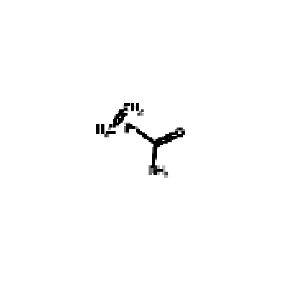 C=C.CC(C)C(N)=O